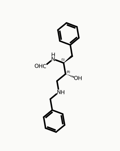 O=CN[C@@H](Cc1ccccc1)[C@H](O)CNCc1ccccc1